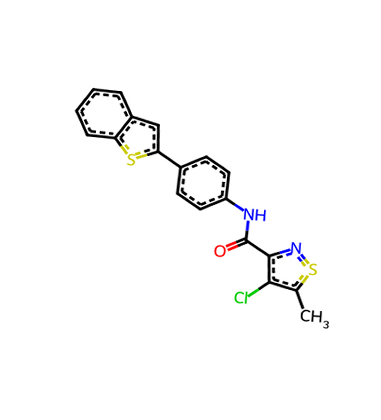 Cc1snc(C(=O)Nc2ccc(-c3cc4ccccc4s3)cc2)c1Cl